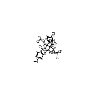 CCc1ccc(C(=O)CC(COC(C)=O)(c2ccc(Cl)cc2)C(COC(C)=O)(C(=O)O)C(=O)O)cc1